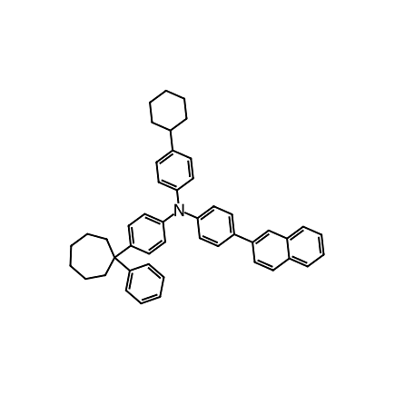 c1ccc(C2(c3ccc(N(c4ccc(-c5ccc6ccccc6c5)cc4)c4ccc(C5CCCCC5)cc4)cc3)CCCCCC2)cc1